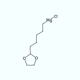 [Cl][Mg][CH2]CCCCC1OCCO1